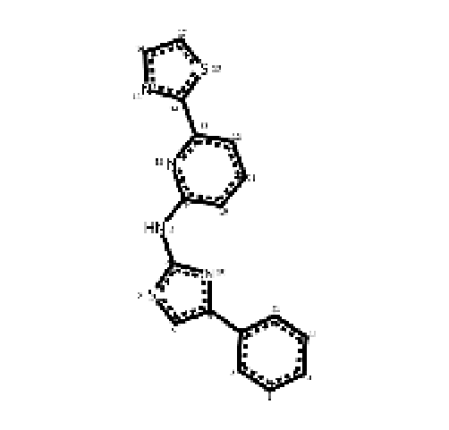 c1ccc(-c2csc(Nc3cccc(-c4nccs4)n3)n2)cc1